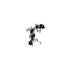 CN(Cc1cccc(F)c1)c1ncnc2c1ncn2[C@H]1C[C@H](O)[C@@H](COC(=O)Nc2ccccc2)O1